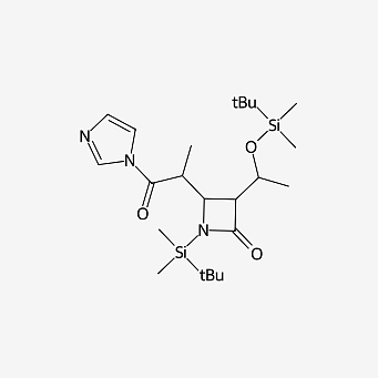 CC(O[Si](C)(C)C(C)(C)C)C1C(=O)N([Si](C)(C)C(C)(C)C)C1C(C)C(=O)n1ccnc1